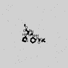 CCOC(=O)c1nnc(N[C@@H]2CCCC[C@@H]2NC(=O)OC(C)(C)C)nc1Nc1cccnc1